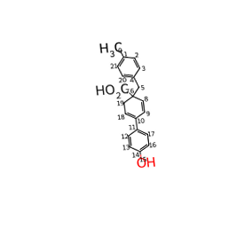 Cc1ccc(CC2(C(=O)O)C=CC(c3ccc(O)cc3)=CC2)cc1